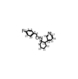 Fc1ccc(CON=C2CCCCC2c2cccnc2)cc1